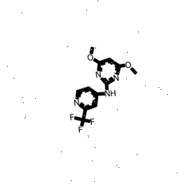 COc1cc(OC)nc(Nc2ccnc(C(F)(F)F)c2)n1